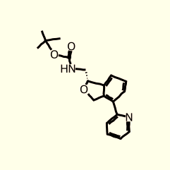 CC(C)(C)OC(=O)NC[C@H]1OCc2c(-c3ccccn3)cccc21